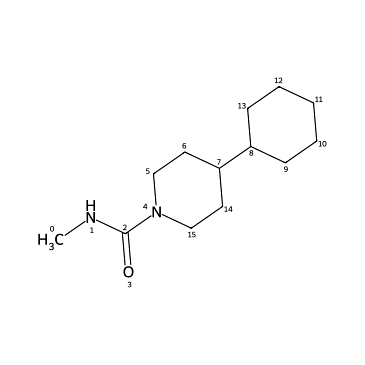 CNC(=O)N1CCC(C2CCCCC2)CC1